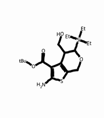 CC[Si](CC)(CC)C1OCc2sc(N)c(C(=O)OC(C)(C)C)c2C1CO